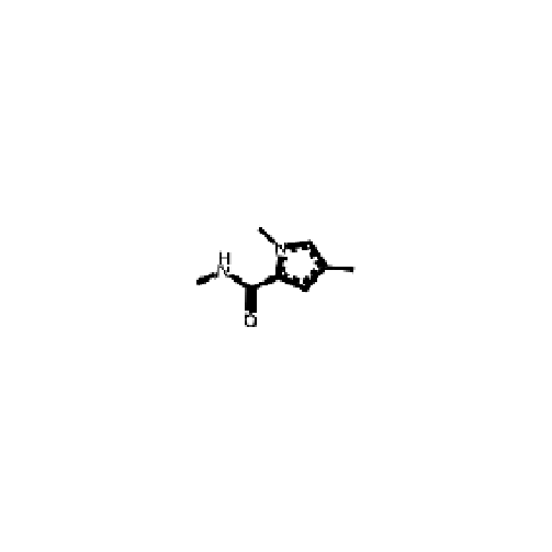 CNC(=O)c1cc(C)cn1C